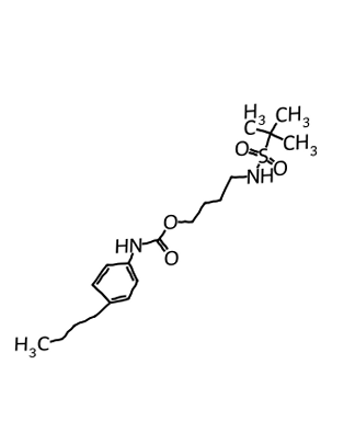 CCCCc1ccc(NC(=O)OCCCCNS(=O)(=O)C(C)(C)C)cc1